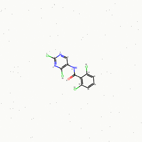 O=C(Nc1cnc(Cl)nc1Cl)c1c(Cl)cccc1Cl